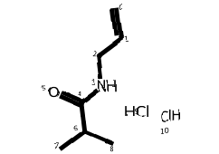 C=CCNC(=O)C(C)C.Cl.Cl